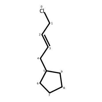 ClCC=CCC1CCCC1